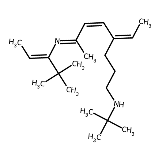 C\C=C(/C=C\C(C)=N\C(=C/C)C(C)(C)C)CCCNC(C)(C)C